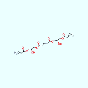 C=CC(=O)OCC(O)COC(=O)CCCC(=O)OCC(O)COC(=O)C=C